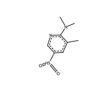 Cc1cc([SH](=O)=O)cnc1N(C)C